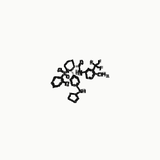 Cc1ccc(NC(=O)[C@H]2CCCN(S(=O)(=O)c3ccccc3Cl)[C@H]2c2ccc(NC3CCCC3)cc2)cc1C(F)(F)F